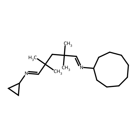 CC(C)(/C=N/C1CCCCCCCC1)CC(C)(C)/C=N/C1CC1